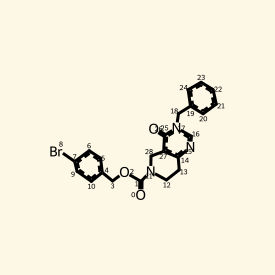 O=C(OCc1ccc(Br)cc1)N1CCc2ncn(Cc3ccccc3)c(=O)c2C1